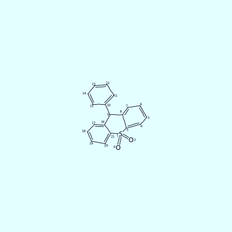 O=S1(=O)c2ccccc2C(c2ccccc2)c2ccccc21